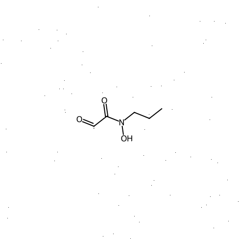 CCCN(O)C(=O)[C]=O